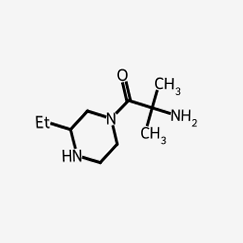 CCC1CN(C(=O)C(C)(C)N)CCN1